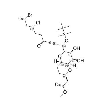 C=C(Br)C[C@H](Cl)CCC(=O)C#C[C@H](O[Si](C)(C)C(C)(C)C)C1O[C@H]2CC[C@H](CC(=O)OC)O[C@@H]2[C@H](O)[C@@H]1O